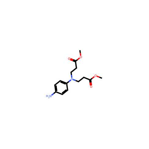 COC(=O)CCN(CCC(=O)OC)c1ccc(N)cc1